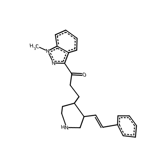 Cn1nc(C(=O)CCC2CCNCC2C=Cc2ccccc2)c2ccccc21